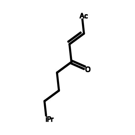 CC(=O)/C=C/C(=O)CCCC(C)C